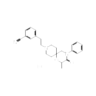 CC1OC2(CCN(CCc3cccc(C#N)c3)CC2)CN(c2ccccc2)C1=O.Cl